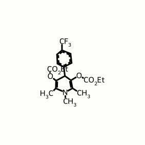 CCOC(=O)OC1=C(C)N(C)C(C)=C(OC(=O)OCC)C1c1ccc(C(F)(F)F)cc1